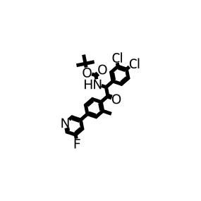 Cc1cc(-c2cncc(F)c2)ccc1C(=O)C(NC(=O)OC(C)(C)C)c1ccc(Cl)c(Cl)c1